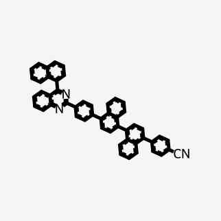 N#Cc1ccc(-c2ccc(-c3ccc(-c4ccc(-c5nc(-c6cccc7ccccc67)c6ccccc6n5)cc4)c4ccccc34)c3ccccc23)cc1